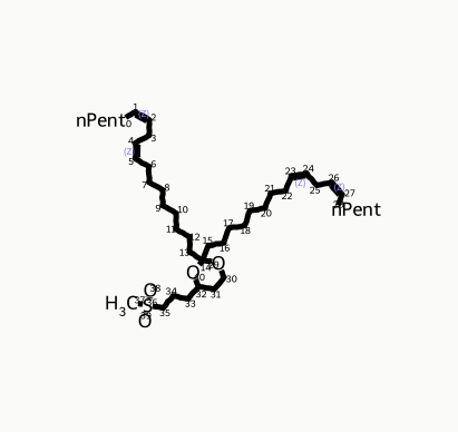 CCCCC/C=C\C/C=C\CCCCCCCCC1(CCCCCCCC/C=C\C/C=C\CCCCC)OCCC(CCCS(C)(=O)=O)O1